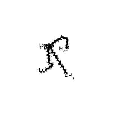 CCCCCC=CCC=CCCCCCCCCOC(=O)C(CCCCCCCC/C=C\C/C=C\CCCCC)(CCCCCCCC/C=C\C/C=C\CCCCC)CN(C)C